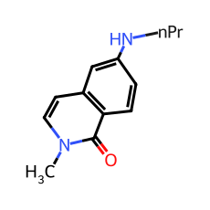 CCCNc1ccc2c(=O)n(C)ccc2c1